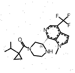 CC(C)C1(C(=O)N2CCN[C@@H](c3ncc(C(F)(F)F)c4ccn(C)c34)C2)CC1